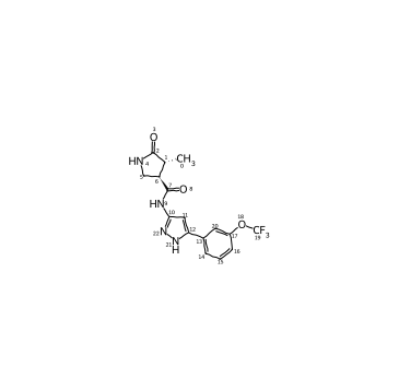 C[C@H]1C(=O)NC[C@@H]1C(=O)Nc1cc(-c2cccc(OC(F)(F)F)c2)[nH]n1